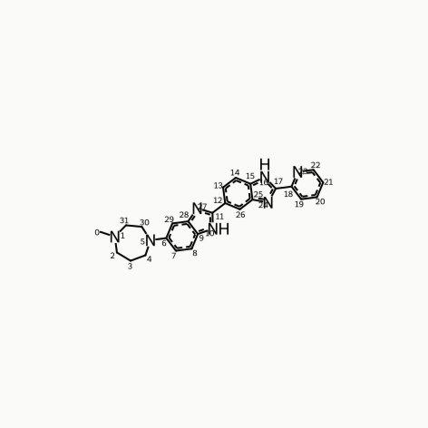 CN1CCCN(c2ccc3[nH]c(-c4ccc5[nH]c(-c6ccccn6)nc5c4)nc3c2)CC1